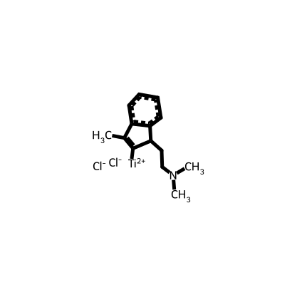 CC1=[C]([Ti+2])C(CCN(C)C)c2ccccc21.[Cl-].[Cl-]